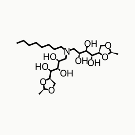 CCCCCCCCN(C[C@H](O)[C@@H](O)[C@H](O)[C@H]1CO[C@@H](C)O1)C[C@H](O)[C@@H](O)[C@H](O)[C@H]1CO[C@@H](C)O1